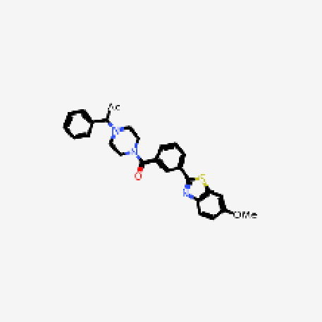 COc1ccc2nc(-c3cccc(C(=O)N4CCN(C(C(C)=O)c5ccccc5)CC4)c3)sc2c1